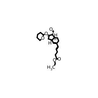 CCOC(=O)CCC=CC1=C[C@@H]2C[C@@H](OC3CCCCO3)[C@@H](C=O)[C@@H]2CC1